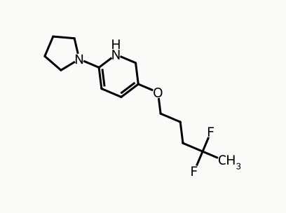 CC(F)(F)CCCOC1=CC=C(N2CCCC2)NC1